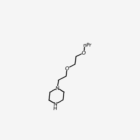 CCCOCCOCCN1CCNCC1